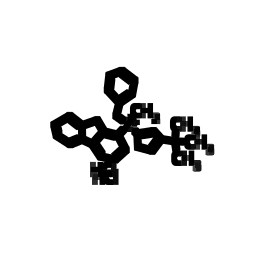 Cl.Cl.[CH2]=[Zr]([CH2]c1ccccc1)([C]1=CC(C(C)(C)C)=CC1)[c]1cccc2c1Cc1ccccc1-2